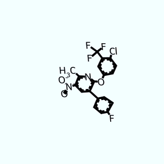 Cc1nc(Oc2ccc(Cl)c(C(F)(F)F)c2)c(-c2ccc(F)cc2)cc1[N+](=O)[O-]